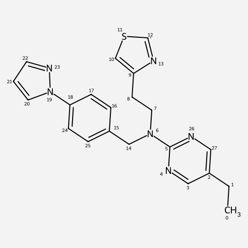 CCc1cnc(N(CCc2cs[c]n2)Cc2ccc(-n3cccn3)cc2)nc1